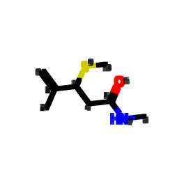 C=C(C)C(CC(=O)NC)SC